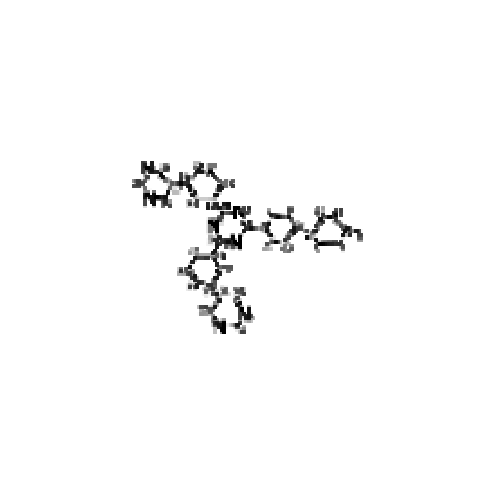 Cc1ccc(-c2ccc(-c3nc(-c4cccc(-c5cncnc5)c4)nc(-c4cccc(-c5cncnc5)c4)n3)cc2)cc1